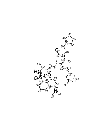 CCCC(C)SSC(CCOC(=O)C(C)NS(=O)(=O)c1cccc2c(N(C)C)cccc12)=C(C)N(C=O)CCN1CCCC1.Cl